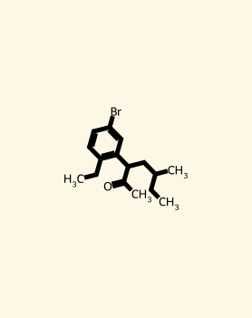 CCc1ccc(Br)cc1C(CC(C)CC)C(C)=O